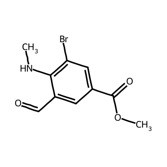 CNc1c(Br)cc(C(=O)OC)cc1C=O